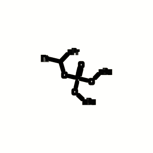 CCCCOP(=O)(OCCCC)OC(CC)CCC